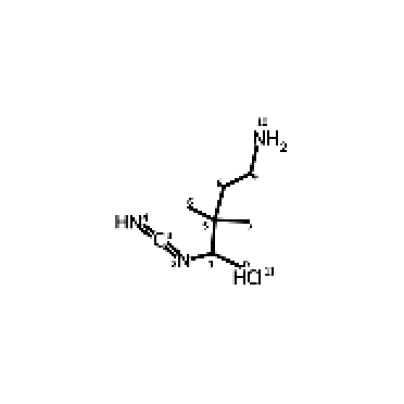 CC(N=C=N)C(C)(C)CCN.Cl